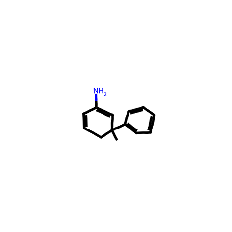 CC1(c2ccccc2)C=C(N)C=CC1